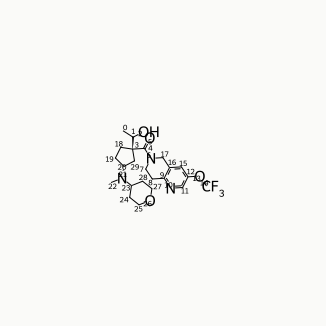 CC(O)[C@]1(C(=O)N2CCc3ncc(OC(F)(F)F)cc3C2)CC[C@@H](N(C)C2CCOCC2)C1